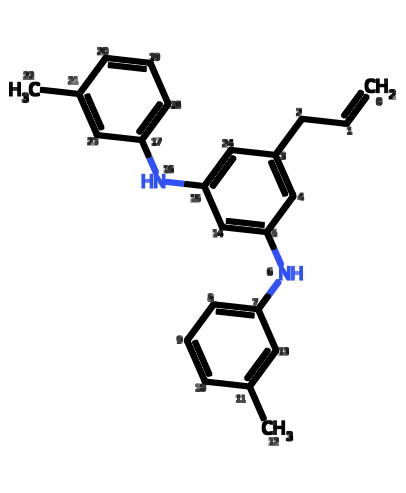 C=CCc1cc(Nc2cccc(C)c2)cc(Nc2cccc(C)c2)c1